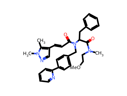 COCCN(C)C(=O)C(Cc1ccccc1)N(Cc1ccc(-c2ccccn2)cc1)C(=O)C=Cc1cnn(C)c1C